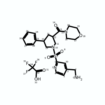 NCc1ccnc(S(=O)(=O)N2CC(C(=O)N3CCOCC3)CC(c3ccccc3)C2)c1.O=C(O)C(F)(F)F